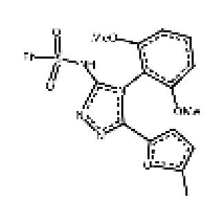 CCS(=O)(=O)Nc1nnc(-c2ccc(C)o2)n1-c1c(OC)cccc1OC